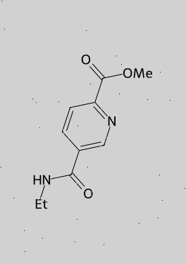 CCNC(=O)c1ccc(C(=O)OC)nc1